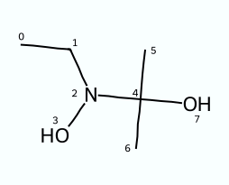 CCN(O)C(C)(C)O